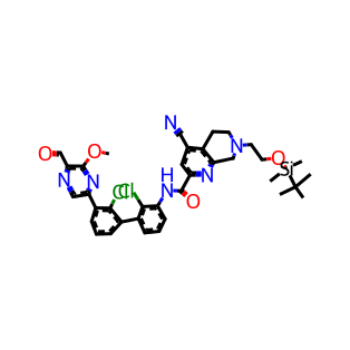 COc1nc(-c2cccc(-c3cccc(NC(=O)c4cc(C#N)c5c(n4)CN(CCO[Si](C)(C)C(C)(C)C)CC5)c3Cl)c2Cl)cnc1C=O